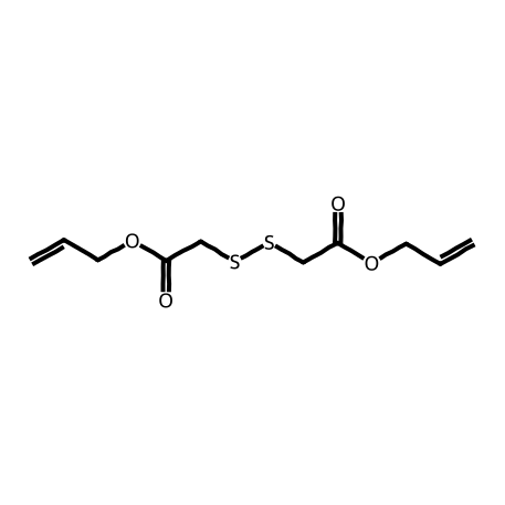 C=CCOC(=O)CSSCC(=O)OCC=C